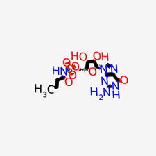 CCCC(=O)NS(=O)(=O)OC[C@H]1O[C@@H](n2cnc3c(=O)[nH]c(N)nc32)C(O)C1O